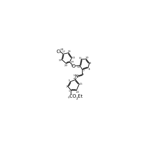 CCOC(=O)c1ccc(/N=C/c2ccccc2Oc2ccc(Cl)cc2)cc1